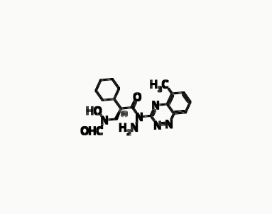 Cc1cccc2nnc(N(N)C(=O)[C@@H](CN(O)C=O)C3CCCCC3)nc12